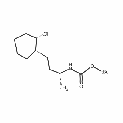 C[C@H](CC[C@@H]1CCCC[C@@H]1O)NC(=O)OC(C)(C)C